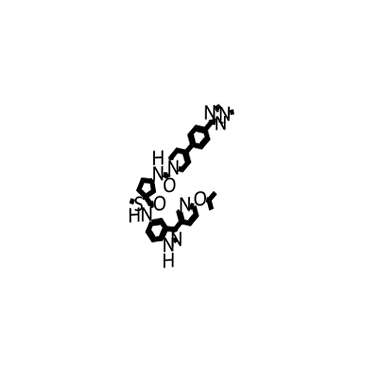 CS[C@@]1(C(=O)Nc2ccc3[nH]nc(-c4ccc(OC(C)C)nc4)c3c2)CCC(NC(=O)N2CC=C(c3ccc(-c4ncn(C)n4)cc3)CC2)C1